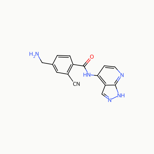 N#Cc1cc(CN)ccc1C(=O)Nc1ccnc2[nH]ncc12